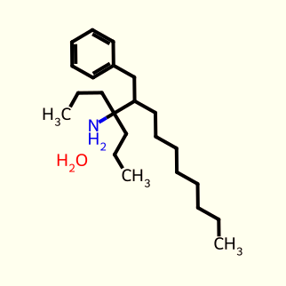 CCCCCCCCC(Cc1ccccc1)C(N)(CCC)CCC.O